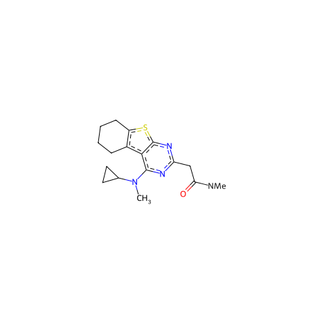 CNC(=O)Cc1nc(N(C)C2CC2)c2c3c(sc2n1)CCCC3